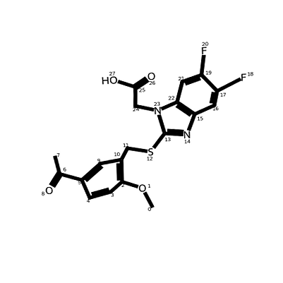 COc1ccc(C(C)=O)cc1CSc1nc2cc(F)c(F)cc2n1CC(=O)O